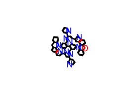 c1ccc(-c2cc(-c3cccnc3)nc(-c3cc(N4c5ccccc5Cc5ccccc54)ccc3-c3ccc(N4c5ccccc5Oc5ccccc54)cc3-c3nc(-c4cccnc4)cc(-c4ccccn4)n3)n2)nc1